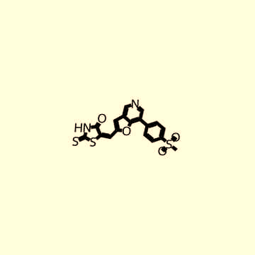 CS(=O)(=O)c1ccc(-c2cncc3cc(/C=C4/SC(=S)NC4=O)oc23)cc1